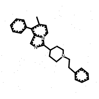 Cc1ccn2c(C3CCN(CCc4ccccc4)CC3)ncc2c1-c1ccccc1